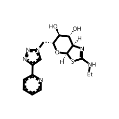 CCNC1=N[C@@H]2[C@@H](O)[C@H](O)[C@@H](Cn3cc(-c4ccccn4)nn3)O[C@@H]2S1